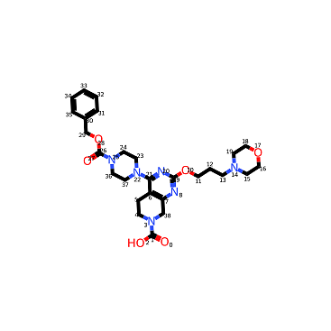 O=C(O)N1CCc2c(nc(OCCCN3CCOCC3)nc2N2CCN(C(=O)OCc3ccccc3)CC2)C1